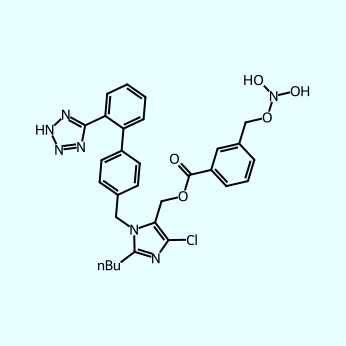 CCCCc1nc(Cl)c(COC(=O)c2cccc(CON(O)O)c2)n1Cc1ccc(-c2ccccc2-c2nn[nH]n2)cc1